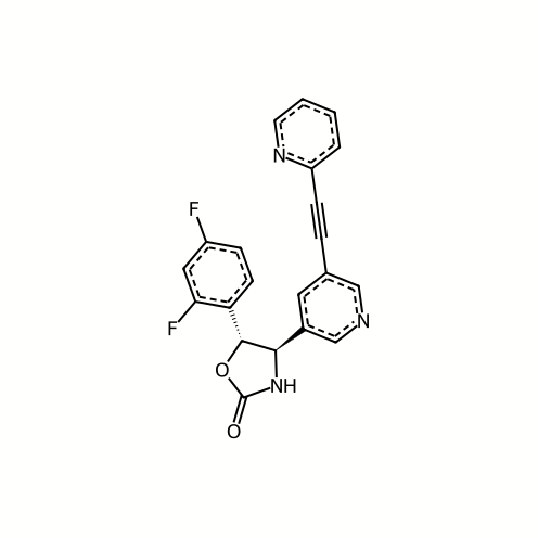 O=C1N[C@H](c2cncc(C#Cc3ccccn3)c2)[C@@H](c2ccc(F)cc2F)O1